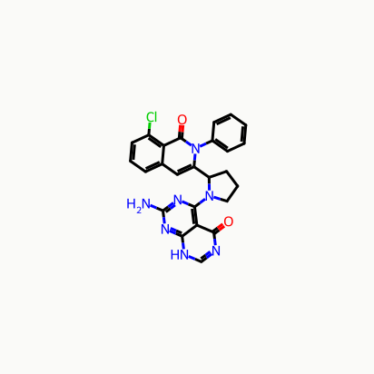 Nc1nc(N2CCCC2c2cc3cccc(Cl)c3c(=O)n2-c2ccccc2)c2c(=O)nc[nH]c2n1